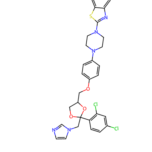 Clc1ccc(C2(Cn3ccnc3)OCC(COc3ccc(N4CCN(c5nc6ccccc6s5)CC4)cc3)O2)c(Cl)c1